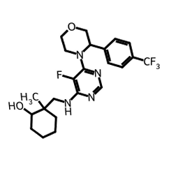 CC1(CNc2ncnc(N3CCOCC3c3ccc(C(F)(F)F)cc3)c2F)CCCCC1O